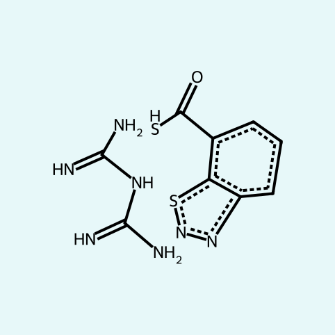 N=C(N)NC(=N)N.O=C(S)c1cccc2nnsc12